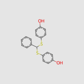 Oc1ccc(SC(Sc2ccc(O)cc2)c2ccccc2)cc1